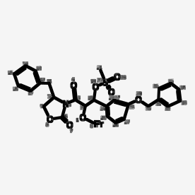 CC(C)OC(C(=O)N1C(=O)OCC1Cc1ccccc1)C(OS(C)(=O)=O)c1cccc(OCc2ccccc2)c1